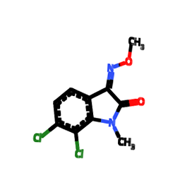 CON=C1C(=O)N(C)c2c1ccc(Cl)c2Cl